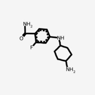 NC(=O)c1ccc(NC2CCC(N)CC2)cc1F